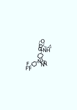 Cn1cc2c3cc(C(=O)NC(C4CC4)C4COCCO4)ccc3n(-c3ccc(C(F)(F)F)cc3)c2n1